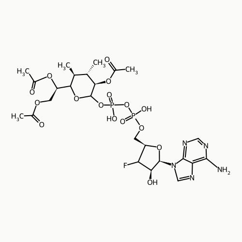 CC(=O)OC[C@@H](OC(C)=O)C1OC(OP(=O)(O)OP(=O)(O)OC[C@H]2O[C@@H](n3cnc4c(N)ncnc43)[C@@H](O)C2F)[C@H](OC(C)=O)[C@@H](C)[C@@H]1C